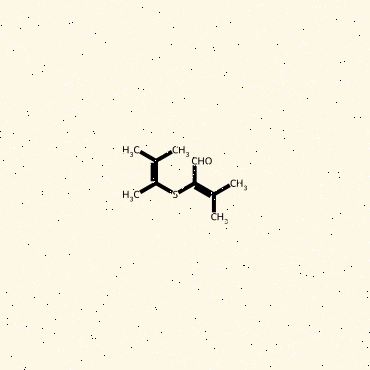 CC(C)=C(C)SC(C=O)=C(C)C